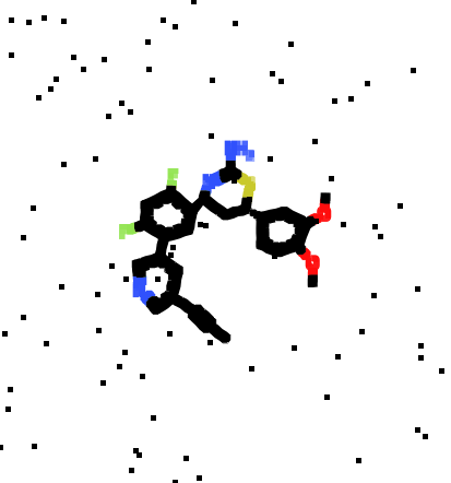 CC#Cc1cncc(-c2cc([C@@H]3C[C@@H](c4ccc(OC)c(OC)c4)SC(N)=N3)c(F)cc2F)c1